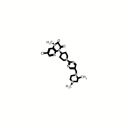 CC1CN(C)CCN1Cc1cnc(N2CCC(n3c(=O)c(=O)n(C)c4cc(Cl)cnc43)CC2)nc1